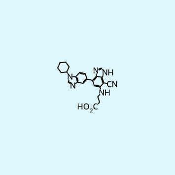 N#Cc1c(NCCC(=O)O)cc(-c2ccc3c(c2)ncn3C2CCCCC2)c2nc[nH]c12